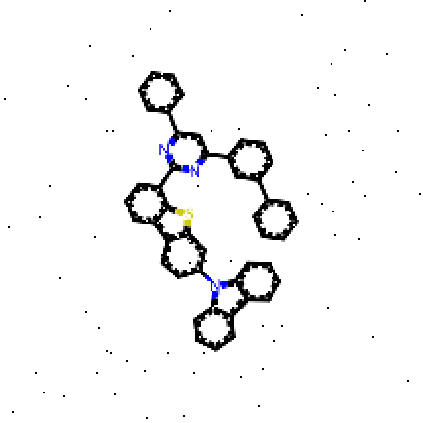 c1ccc(-c2cccc(-c3cc(-c4ccccc4)nc(-c4cccc5c4sc4cc(-n6c7ccccc7c7ccccc76)ccc45)n3)c2)cc1